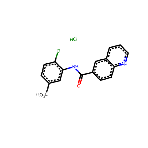 Cl.O=C(O)c1ccc(Cl)c(NC(=O)c2ccc3ncccc3c2)c1